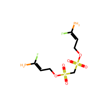 O=S(=O)(CS(=O)(=O)OC/C=C(\F)P)OC/C=C(\F)P